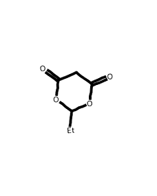 CCC1OC(=O)CC(=O)O1